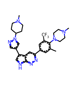 Cc1cc(-c2cc3c(-c4cnn(C5CCN(C)CC5)c4)c[nH]c3nn2)cc(C(F)(F)F)c1N1CCN(C)CC1